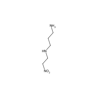 NCCCNCC[N+](=O)[O-]